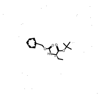 CC[C@@H](NC(=O)OCc1ccccc1)C(=O)OC(C)(C)C